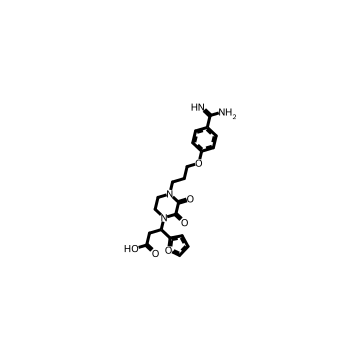 N=C(N)c1ccc(OCCCN2CCN(C(CC(=O)O)c3ccco3)C(=O)C2=O)cc1